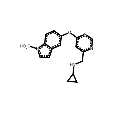 O=C(O)n1ccc2cc(Oc3cc(CNC4CC4)ncn3)ccc21